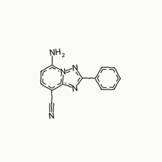 N#Cc1ccc(N)n2nc(-c3ccccc3)nc12